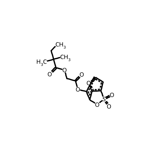 CCC(C)(C)C(=O)OCC(=O)Oc1c2c3oc1cc3S(=O)(=O)O2